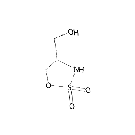 O=S1(=O)NC(CO)CO1